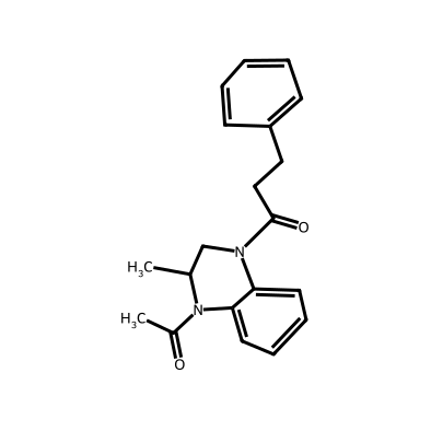 CC(=O)N1c2ccccc2N(C(=O)CCc2ccccc2)CC1C